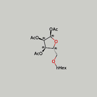 CCCCCCOC[C@H]1O[C@H](OC(C)=O)[C@H](OC(C)=O)[C@@H]1OC(C)=O